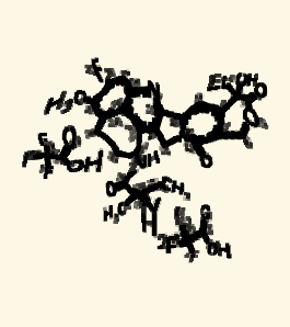 CC[C@@]1(O)C(=O)OCc2c1cc1n(c2=O)Cc2c-1nc1cc(F)c(C)c3c1c2[C@@H](NC(=O)C(C)(C)N)CC3.O=C(O)C(F)(F)F.O=C(O)C(F)(F)F